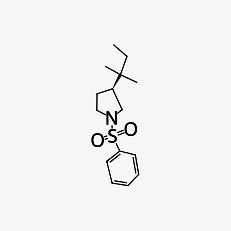 CCC(C)(C)[C@@H]1CCN(S(=O)(=O)c2ccccc2)C1